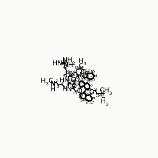 CNCCCC[C@@H](NC(=O)COc1ccc2ccccc2c1-c1c(OCCC(C)C)ccc2ccccc12)C(=O)N[C@H](CCCNC(=N)N)C(=O)N[C@@H](CC(C)C)C(=O)NCc1ccccc1